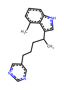 Cc1cccc2[nH]cc(C(C)CCCc3cncnc3)c12